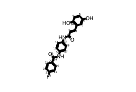 O=C(C=Cc1cc(O)ccc1O)Nc1ccc(NC(=O)c2ccc(F)cc2)cc1